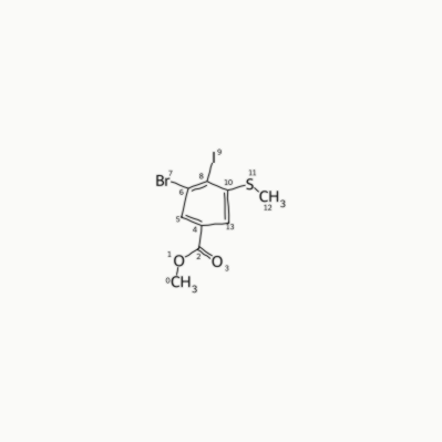 COC(=O)c1cc(Br)c(I)c(SC)c1